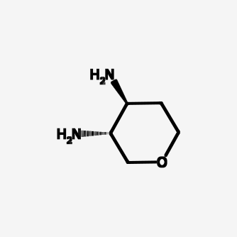 N[C@H]1CCOC[C@@H]1N